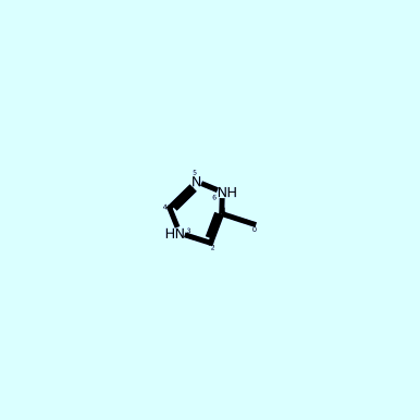 CC1=CNC=NN1